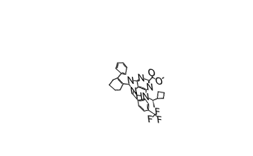 COC(=O)c1nc(N[C@H](C)C2CCC2)c2c(n1)nc(C1=C(c3ccccc3)CCCC1)n2Cc1ccc(C(F)(F)F)cc1